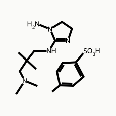 CN(C)CC(C)(C)CNC1=NCCN1N.Cc1ccc(S(=O)(=O)O)cc1